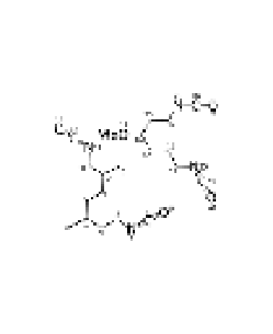 CC(CCN=C=O)CCC(C)CN=C=O.COC(CCCN=C=O)CCN=C=O